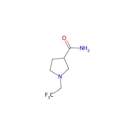 NC(=O)C1CCN(CC(F)(F)F)C1